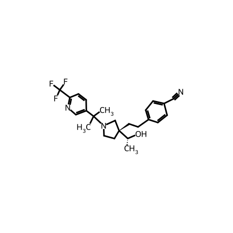 C[C@@H](O)[C@]1(CCc2ccc(C#N)cc2)CCN(C(C)(C)c2ccc(C(F)(F)F)nc2)C1